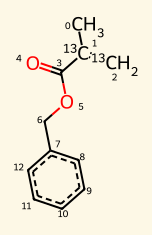 C[13C](=[13CH2])C(=O)OCc1ccccc1